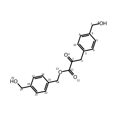 O=C(Cc1ccc(CO)cc1)C(=O)OCc1ccc(CO)cc1